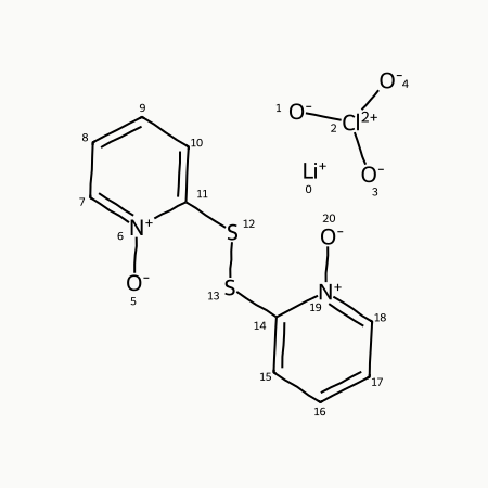 [Li+].[O-][Cl+2]([O-])[O-].[O-][n+]1ccccc1SSc1cccc[n+]1[O-]